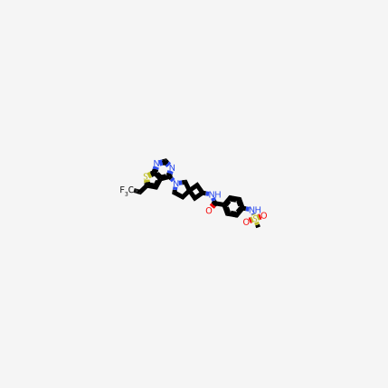 CS(=O)(=O)Nc1ccc(C(=O)NC2CC3(CCN(c4ncnc5sc(CC(F)(F)F)cc45)C3)C2)cc1